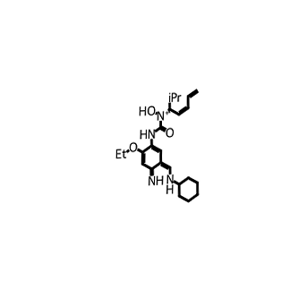 C=C/C=C\C(C(C)C)=[N+](\O)C(=O)NC1=C/C(=C/NC2CCCCC2)C(=N)C=C1OCC